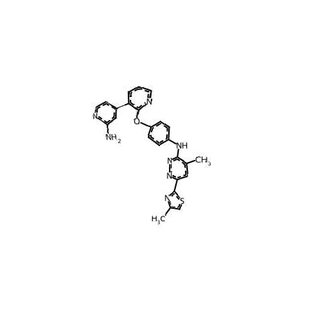 Cc1csc(-c2cc(C)c(Nc3ccc(Oc4ncccc4-c4ccnc(N)c4)cc3)nn2)n1